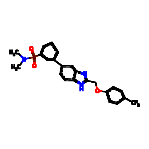 CN(C)S(=O)(=O)c1cccc(-c2ccc3[nH]c(COc4ccc(C(F)(F)F)cc4)nc3c2)c1